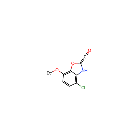 CCOc1ccc(Cl)c2c1OC(=C=O)N2